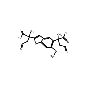 COc1cc2sc(C(C)(CC=O)C(=O)O)cc2cc1C(C)(CC=O)C(=O)O